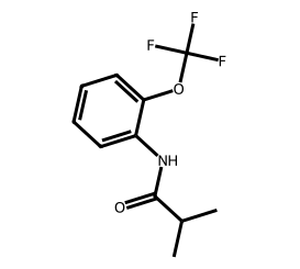 CC(C)C(=O)Nc1ccccc1OC(F)(F)F